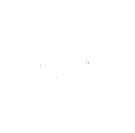 CCc1cn(-c2ccc(C)c3c2ncn3C)cn1